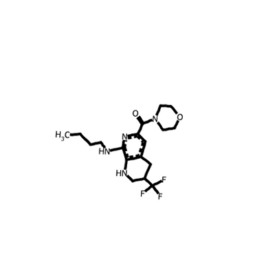 CCCCNc1nc(C(=O)N2CCOCC2)cc2c1NCC(C(F)(F)F)C2